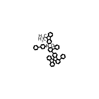 CC1(C)c2ccccc2-c2ccc(N(c3ccc(-c4ccccc4)cc3)c3ccc(-c4ccc5c(c4)C4(c6ccccc6-c6ccccc64)c4cccc(-c6ccccc6)c4-5)c4c3oc3ccccc34)cc21